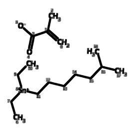 C=C(C)C(=O)[O-].C[CH2][Sn+]([CH2]C)[CH2]CCCCC(C)C